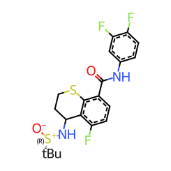 CC(C)(C)[S@+]([O-])NC1CCSc2c(C(=O)Nc3ccc(F)c(F)c3)ccc(F)c21